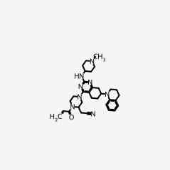 C=CC(=O)N1CCN(c2nc(NC3CCN(C)CC3)nc3c2CCC(N2CCCc4ccccc42)C3)CC1CC#N